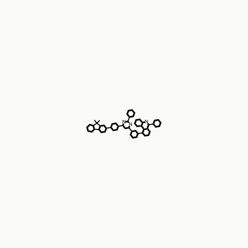 CC1(C)c2ccccc2-c2ccc(-c3ccc(-c4cc(-c5cccc(-c6cccc7c(-c8ccccc8)nc8ccccc8c67)c5)nc(-c5ccccc5)n4)cc3)cc21